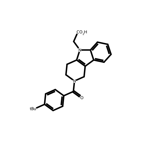 CC(C)(C)c1ccc(C(=O)N2CCc3c(c4ccccc4n3CC(=O)O)C2)cc1